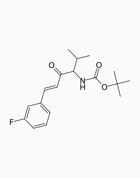 CC(C)C(NC(=O)OC(C)(C)C)C(=O)C=Cc1cccc(F)c1